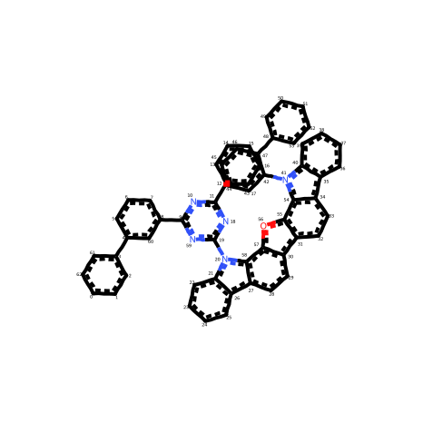 c1ccc(-c2cccc(-c3nc(-c4ccccc4)nc(-n4c5ccccc5c5ccc6c7ccc8c9ccccc9n(-c9ccccc9-c9ccccc9)c8c7oc6c54)n3)c2)cc1